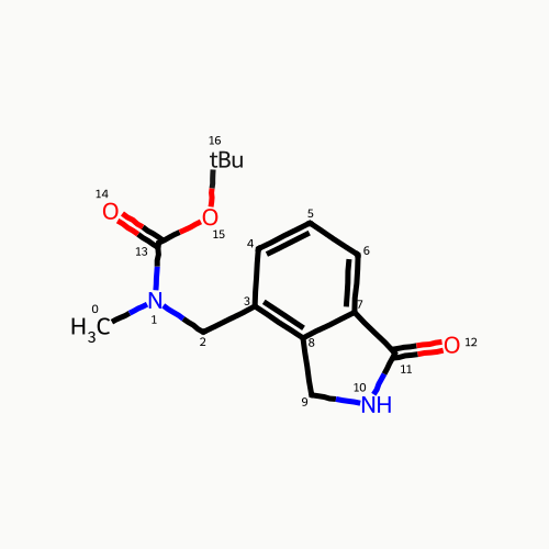 CN(Cc1cccc2c1CNC2=O)C(=O)OC(C)(C)C